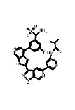 CC(C)C(=O)Nc1cncc(-c2cc3c(-c4cc5c(-c6cc(F)cc(C(N)S(C)(=O)=O)c6)cncc5[nH]4)n[nH]c3cn2)c1